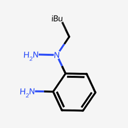 CCC(C)CN(N)c1ccccc1N